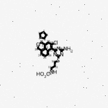 C1CCCC1.Nc1nc(SCCCNC(=O)O)nc(-c2c(Cl)cc3c4c(cccc24)COC3)n1